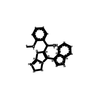 COc1ccccc1C(O)C1=C(c2csc3ccccc23)N2CCN=C2S1